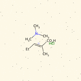 CC/C=C(\C)C(=O)O.CN(C)C.Cl